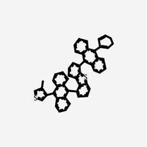 Cc1cscc1-c1c2ccccc2c(-c2cccc3sc4c(-c5c6ccccc6c(C6=CCCC=C6)c6ccccc56)cccc4c23)c2ccccc12